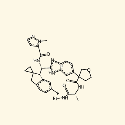 CCNC(=O)[C@@H](C)NC(=O)C1(c2ccc3nc([C@@H](NC(=O)c4ccnn4C)[C@@H]4c5cc(F)ccc5CC45CC5)[nH]c3c2)CCOC1